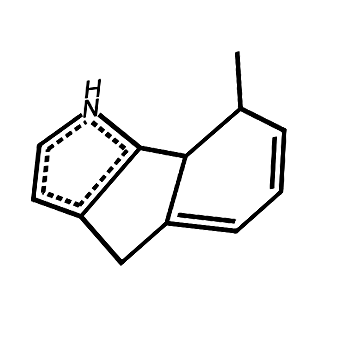 CC1C=CC=C2Cc3cc[nH]c3C21